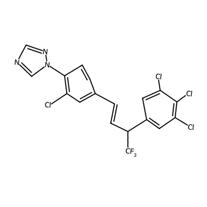 FC(F)(F)C(/C=C/c1ccc(-n2cncn2)c(Cl)c1)c1cc(Cl)c(Cl)c(Cl)c1